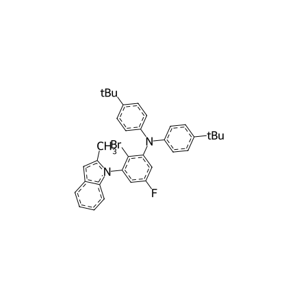 Cc1cc2ccccc2n1-c1cc(F)cc(N(c2ccc(C(C)(C)C)cc2)c2ccc(C(C)(C)C)cc2)c1Br